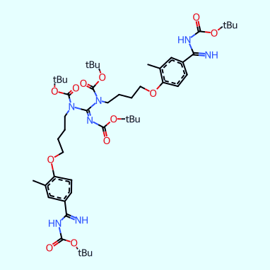 Cc1cc(C(=N)NC(=O)OC(C)(C)C)ccc1OCCCCN(C(=O)OC(C)(C)C)C(=NC(=O)OC(C)(C)C)N(CCCCOc1ccc(C(=N)NC(=O)OC(C)(C)C)cc1C)C(=O)OC(C)(C)C